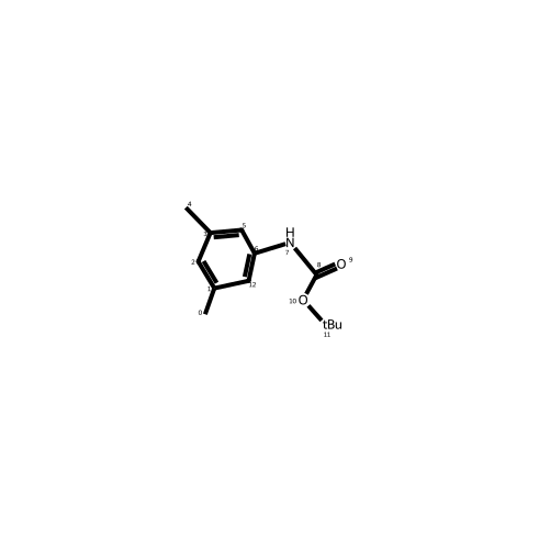 Cc1cc(C)cc(NC(=O)OC(C)(C)C)c1